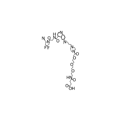 CN(CCCN1CCN(C(=O)COCCOCCOCCNC(=O)CCC(=O)O)CC1)c1ccc2nccc(C(=O)NCC(=O)N3CC(F)(F)C[C@H]3C#N)c2c1